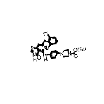 CC(C)(C)OC(=O)N1CCN(c2ccc(Nc3nc(Cc4c(Cl)cccc4Cl)cc4nc[nH]c(=O)c34)cc2)CC1